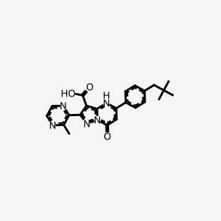 Cc1nccnc1-c1nn2c(=O)cc(-c3ccc(CC(C)(C)C)cc3)[nH]c2c1C(=O)O